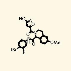 COc1ccc2c(c1)CCN(C(=O)c1cc(O)no1)C2C(=O)Nc1ccc(C(C)(C)C)c(F)c1